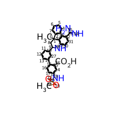 CC1(c2ccccc2)CC(c2cccc(-c3ccc(NS(C)(=O)=O)cc3C(=O)O)c2)Nc2ccc(C(=N)N)cc21